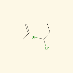 C=CC.CCC(Br)Br